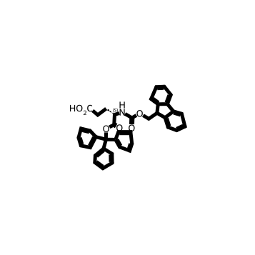 O=C(O)CC[C@H](NC(=O)OCC1c2ccccc2-c2ccccc21)C(=O)OC(c1ccccc1)(c1ccccc1)c1ccccc1